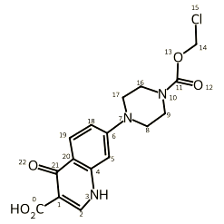 O=C(O)c1c[nH]c2cc(N3CCN(C(=O)OCCl)CC3)ccc2c1=O